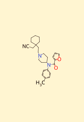 Cc1ccc(N(C(=O)c2ccco2)C2CCN(CCC3(CC#N)CCCCC3)CC2)cc1